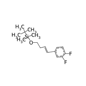 CC(C)(C)[Si](C)(C)OCCC=Cc1ccc(F)c(F)c1